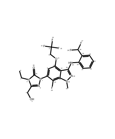 CCn1c(CO)nn(-c2cc(OCC(F)(F)F)c3c(Nc4ccccc4C(F)F)nn(C)c3c2F)c1=O